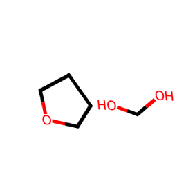 C1CCOC1.OCO